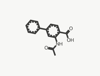 CC(=O)Nc1cc(-c2ccccc2)ccc1C(=O)O